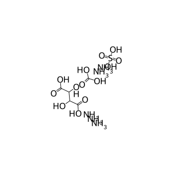 N.N.N.N.N.O=C(O)C(O)C(O)C(=O)O.O=C(O)O.O=S(=O)(O)O